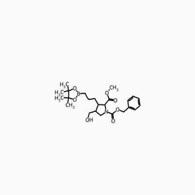 COC(=O)C1C(CCCB2OC(C)(C)C(C)(C)O2)C(CO)CN1C(=O)OCc1ccccc1